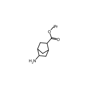 CC(C)OC(=O)C1CC2CC1CC2N